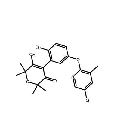 CCc1ccc(Oc2ncc(Cl)cc2C)cc1C1=C(O)C(C)(C)OC(C)(C)C1=O